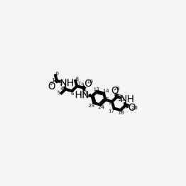 CC(=O)NC(C)CC(C)C(=O)Nc1ccc(C2CCC(=O)NC2=O)cc1